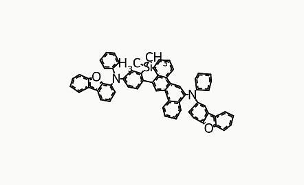 C[Si]1(C)c2cc(N(c3ccccc3)c3cccc4c3oc3ccccc34)ccc2-c2cc3c4ccccc4c(N(c4ccccc4)c4ccc5oc6ccccc6c5c4)cc3c3cccc1c23